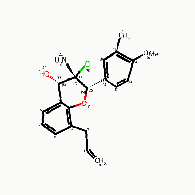 C=CCc1cccc2c1O[C@@H](c1ccc(OC)c(C)c1)[C@](Cl)([N+](=O)[O-])[C@H]2O